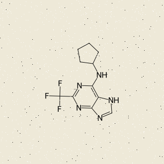 FC(F)(F)c1nc(NC2CCCC2)c2[nH]cnc2n1